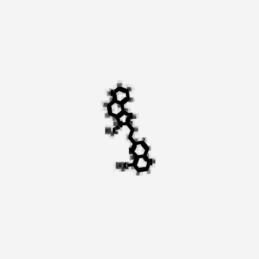 Cc1ccnc2ccc(CCc3nc4c5cccnc5ccc4n3C)nc12